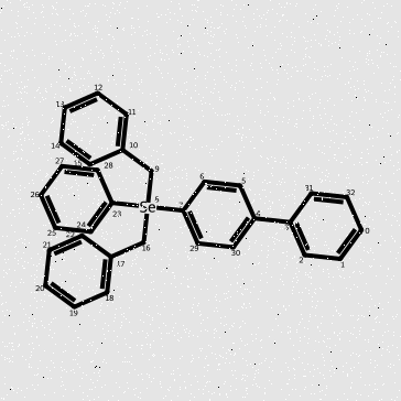 [c]1ccc(-c2ccc([Se](Cc3ccccc3)(Cc3ccccc3)c3ccccc3)cc2)cc1